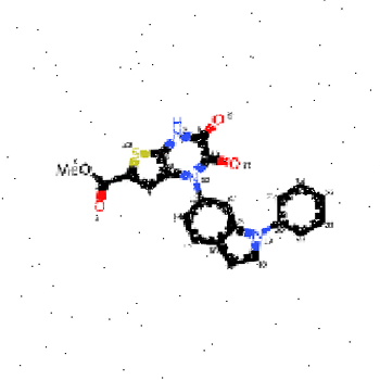 COC(=O)c1cc2c([nH]c(=O)c(=O)n2-c2ccc3ccn(-c4ccccc4)c3c2)s1